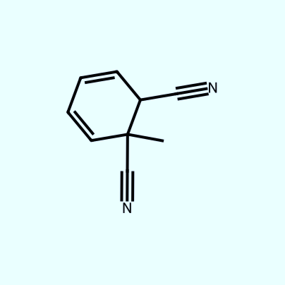 CC1(C#N)C=CC=CC1C#N